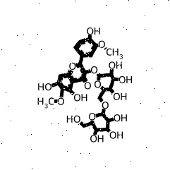 COc1cc(-c2oc3cc(O)c(OC)c(O)c3c(=O)c2OC2OC(COC3OC(CO)C(O)C(O)C3O)C(O)C(O)C2O)ccc1O